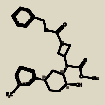 CC(C)(C)OC(=O)N(C1CN(C(=O)OCc2ccccc2)C1)[C@H]1C[C@@H](c2cccc(C(F)(F)F)c2)CC[C@@H]1O